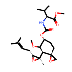 COC(=O)[C@@H](NC(=O)O[C@@H]1CC[C@]2(CO2)[C@@H]([C@@]2(C)O[C@@H]2CC=C(C)C)C1OC)C(C)C